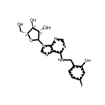 OC[C@H]1OC(n2cnc3c(NCc4ccc(F)cc4O)ncnc32)[C@@H](O)[C@@H]1O